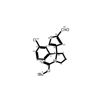 CC(C)(C)OC(=O)N1CCC[C@@]1(c1cccc(Cl)c1)c1csc(C=O)c1